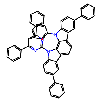 c1ccc(-c2ccc3c(c2)c2ccc4c5cc(-c6ccccc6)ccc5n(-c5nc(-c6ccccc6)cc(-c6ccccc6)n5)c4c2n3-c2ccccc2)cc1